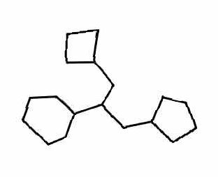 C1CCC([C](CC2CCCC2)CC2CCC2)CC1